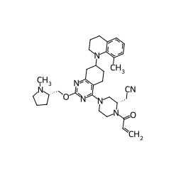 C=CC(=O)N1CCN(c2nc(OC[C@@H]3CCCN3C)nc3c2CCC(N2CCCc4cccc(C)c42)C3)C[C@@H]1CC#N